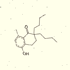 CCCCC1(CCCC)CCc2c(O)ccc(C)c2C1=O